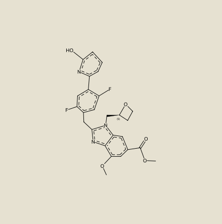 COC(=O)c1cc(OC)c2nc(Cc3cc(F)c(-c4cccc(O)n4)cc3F)n(C[C@@H]3CCO3)c2c1